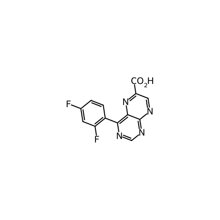 O=C(O)c1cnc2ncnc(-c3ccc(F)cc3F)c2n1